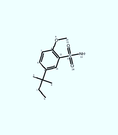 CCC(C)(C)c1ccc(OC)c(S([NH])(=O)=O)c1